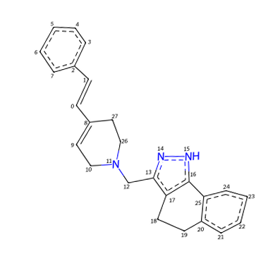 C(=Cc1ccccc1)C1=CCN(Cc2n[nH]c3c2CCc2ccccc2-3)CC1